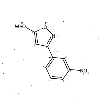 COc1cc(-c2cccc([N+](=O)[O-])c2)no1